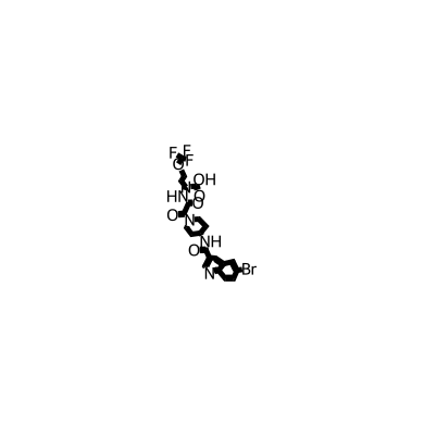 O=C(NN(CCOC(F)(F)F)C(=O)O)C(=O)N1CCC(NC(=O)c2cnc3ccc(Br)cc3c2)CC1